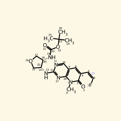 Cn1c(=O)c(/C=C\F)cc2cnc(N[C@@H]3COC[C@@H]3NC(=O)OC(C)(C)C)nc21